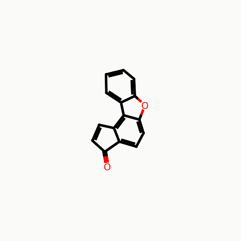 O=C1C=Cc2c1ccc1oc3ccccc3c21